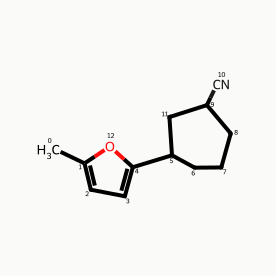 Cc1ccc(C2CCCC(C#N)C2)o1